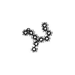 c1ccc(-c2ccc(N(c3ccc(-c4cccc(-c5cccc(-c6ccc7ccccc7c6)c5)c4)cc3)c3ccc(-c4ccc5oc6ccccc6c5c4)cc3)cc2)cc1